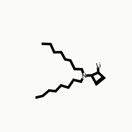 [Li][CH]1C=CC1N(CCCCCCCC)CCCCCCCC